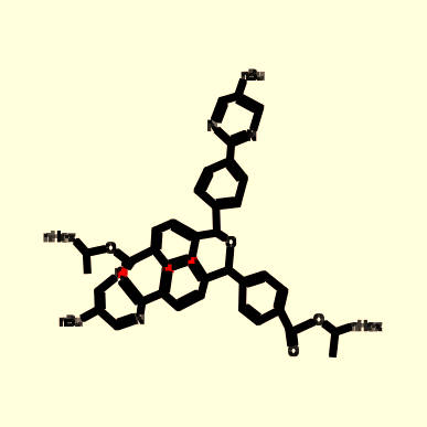 CCCCCCC(C)OC(=O)c1ccc(C(OC(c2ccc(C(=O)OC(C)CCCCCC)cc2)c2ccc(-c3ncc(CCCC)cn3)cc2)c2ccc(-c3ncc(CCCC)cn3)cc2)cc1